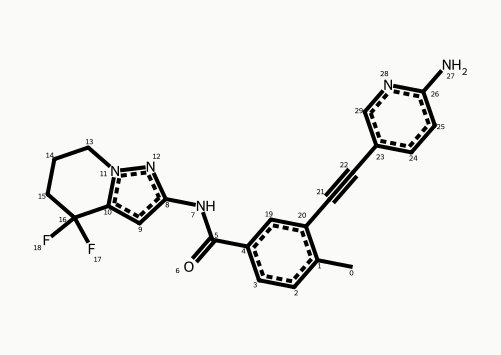 Cc1ccc(C(=O)Nc2cc3n(n2)CCCC3(F)F)cc1C#Cc1ccc(N)nc1